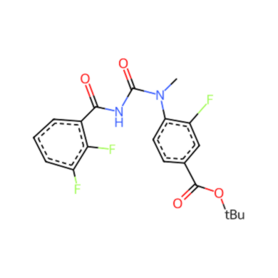 CN(C(=O)NC(=O)c1cccc(F)c1F)c1ccc(C(=O)OC(C)(C)C)cc1F